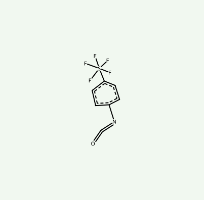 O=C=Nc1ccc(S(F)(F)(F)(F)F)cc1